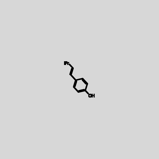 CC(C)/C=C/c1ccc(O)cc1